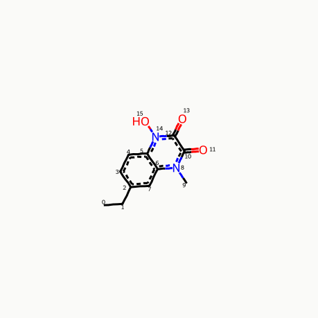 CCc1ccc2c(c1)n(C)c(=O)c(=O)n2O